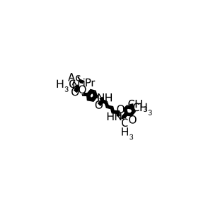 CC(=O)[C@@H](C(C)C)N(C)C(=O)OCc1ccc(NC(=O)CCCCCNC(C)=C2C(=O)CC(C)(C)CC2=O)cc1